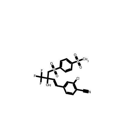 CS(=O)(=O)c1ccc(S(=O)(=O)CC(O)(C=Cc2ccc(C#N)c(Cl)c2)C(F)(F)F)cc1